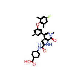 Cc1cc(Oc2c(C)cc(F)cc2C)cc(-c2cn(C)c(=O)c3[nH]c(C(=O)NC4CCC(C(=O)O)CC4)cc23)c1